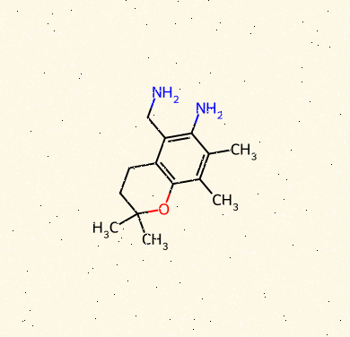 Cc1c(C)c2c(c(CN)c1N)CCC(C)(C)O2